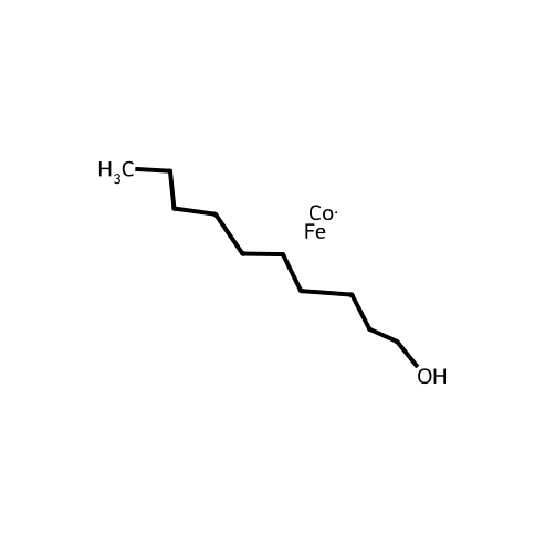 CCCCCCCCCCO.[Co].[Fe]